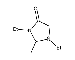 CCN1CC(=O)N(CC)C1C